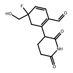 O=CC1=C(C2CCC(=O)NC2=O)CC(F)(CO)C=C1